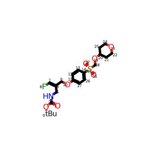 CC(C)(C)OC(=O)NC/C(=C\F)COc1ccc(S(=O)(=O)COC2CCOCC2)cc1